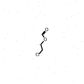 O=CO[CH]CCl